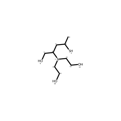 CC(S)CC(CO)N(CCO)CCO